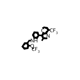 Cc1cnc2c(C(F)(F)F)cccc2c1-c1cccc(NCc2ccccc2OC(F)(F)F)c1